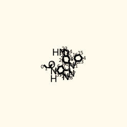 C=CC(=O)Nc1ccc2c(N(Cc3ccccc3)c3ccc4[nH]ccc4c3)ncnc2c1